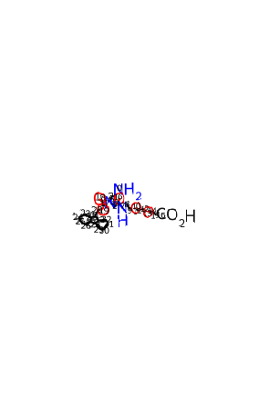 NCCN(CC(=O)NCCOCCOCCC(=O)O)C(=O)OCC1c2ccccc2-c2ccccc21